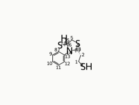 SCC[C@H]1SC[C@H]2Sc3ccccc3N12